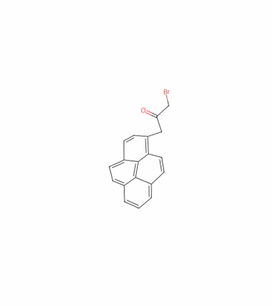 O=C(CBr)Cc1ccc2ccc3cccc4ccc1c2c34